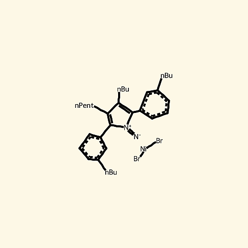 CCCCCC1=C(c2cccc(CCCC)c2)[N+](=[N-])C(c2cccc(CCCC)c2)=C1CCCC.[Br][Ni][Br]